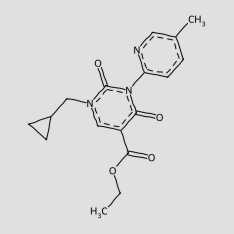 CCOC(=O)c1cn(CC2CC2)c(=O)n(-c2ccc(C)cn2)c1=O